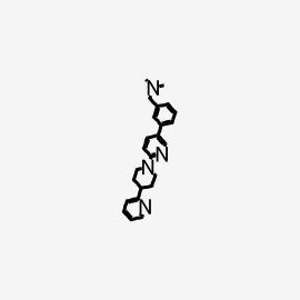 CN(C)Cc1cccc(-c2ccc(N3CCC(c4ccccn4)CC3)nc2)c1